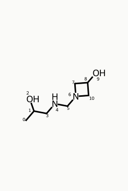 CC(O)CNCN1CC(O)C1